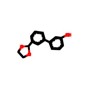 Oc1cccc(-c2cccc(C3OCCO3)c2)c1